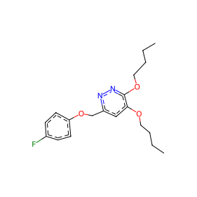 CCCCOc1cc(COc2ccc(F)cc2)nnc1OCCCC